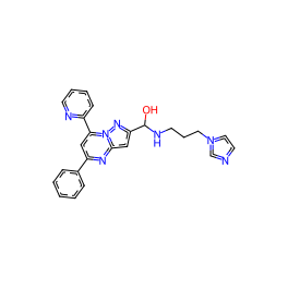 OC(NCCCn1ccnc1)c1cc2nc(-c3ccccc3)cc(-c3ccccn3)n2n1